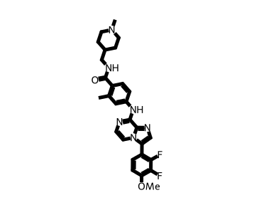 COc1ccc(-c2cnc3c(Nc4ccc(C(=O)NCC5CCN(C)CC5)c(C)c4)nccn23)c(F)c1F